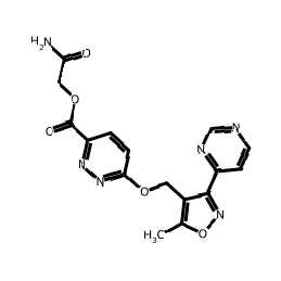 Cc1onc(-c2ccncn2)c1COc1ccc(C(=O)OCC(N)=O)nn1